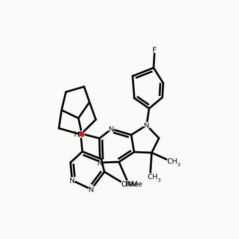 CNc1nc(NC2C3CCC2CN(c2cnnc(OC)c2)C3)nc2c1C(C)(C)CN2c1ccc(F)cc1